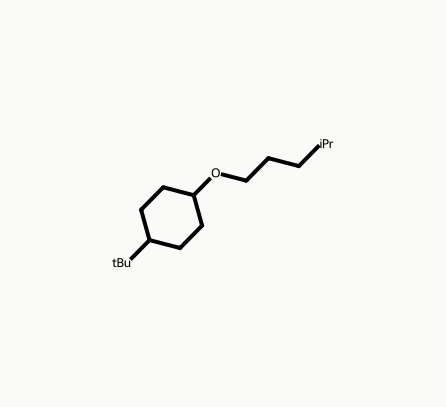 CC(C)CCCOC1CCC(C(C)(C)C)CC1